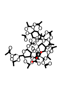 CC(=O)OC[C@@H](OC(C)=O)[C@H]1O[C@H](OP(=O)(O[C@H]2O[C@H]([C@@H](COC(C)=O)OC(C)=O)[C@@H](OC(C)=O)[C@H](OC(C)=O)[C@@H]2OC(C)=O)O[C@H]2O[C@H]([C@@H](COC(C)=O)OC(C)=O)[C@@H](OC(C)=O)[C@H](OC(C)=O)[C@@H]2OC(C)=O)[C@@H](OC(C)=O)[C@@H](OC(C)=O)[C@@H]1OC(C)=O